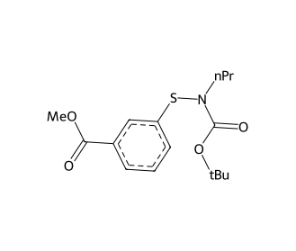 CCCN(Sc1cccc(C(=O)OC)c1)C(=O)OC(C)(C)C